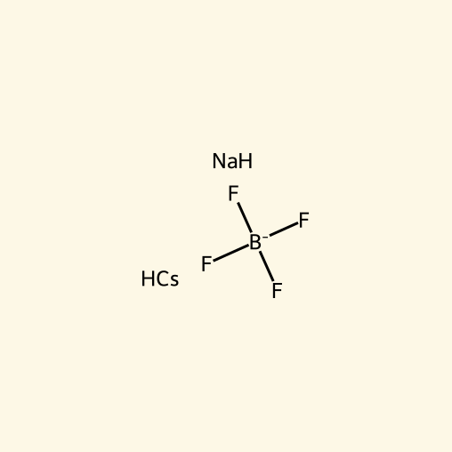 F[B-](F)(F)F.[CsH].[NaH]